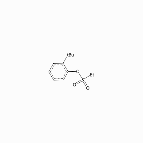 CCS(=O)(=O)Oc1ccccc1C(C)(C)C